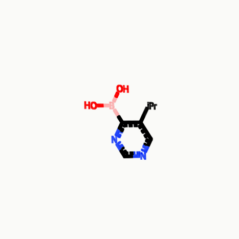 CC(C)c1cncnc1B(O)O